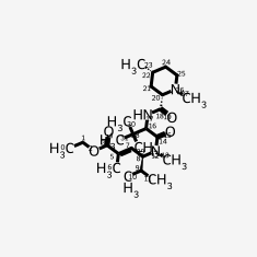 CCOC(=O)/C(C)=C/[C@H](C(C)C)N(C)C(=O)C(NC(=O)[C@@H]1C[C@H](C)CCN1C)C(C)(C)C